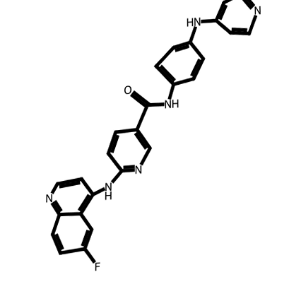 O=C(Nc1ccc(Nc2ccncc2)cc1)c1ccc(Nc2ccnc3ccc(F)cc23)nc1